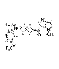 Cn1ccn2ncc(C(=O)N3CC4(CC(N(C(=O)O)c5cncc(OC(F)(F)F)c5)C4)C3)c12